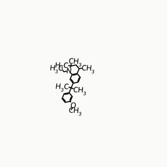 CCN1c2cc(C(C)(C)c3cccc(OC)c3)ccc2C(C)CC1(C)C